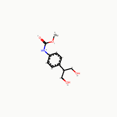 CC(C)(C)OC(=O)Nc1ccc(C(CO)CO)cc1